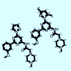 COc1cccc(-c2nc(NC(=O)CN3CCN(C)CC3)cc(-n3cccn3)n2)c1.COc1cncc(-c2nc(NC(=O)CN3CCN(C)CC3)cc(-n3nc(C)cc3C)n2)c1